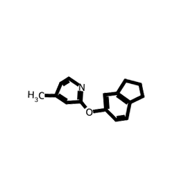 Cc1ccnc(Oc2ccc3c(c2)CCC3)c1